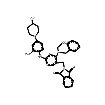 CCOC(=O)CN(Cc1ccccc1)c1nc(Nc2ccc(N3CCC(O)CC3)cc2OC)ncc1CN1C(=O)c2ccccc2C1=O